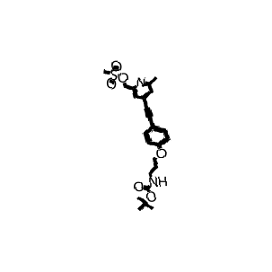 Cc1cc(C#Cc2ccc(OCCCNC(=O)OC(C)(C)C)cc2)cc(COS(C)(=O)=O)n1